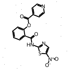 O=C(Oc1ccccc1C(=O)Nc1ncc([N+](=O)[O-])s1)c1ccncc1